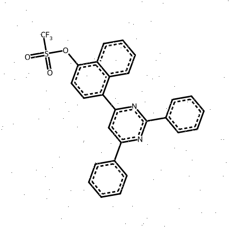 O=S(=O)(Oc1ccc(-c2cc(-c3ccccc3)nc(-c3ccccc3)n2)c2ccccc12)C(F)(F)F